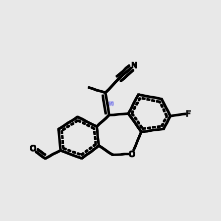 C/C(C#N)=C1\c2ccc(C=O)cc2COc2cc(F)ccc21